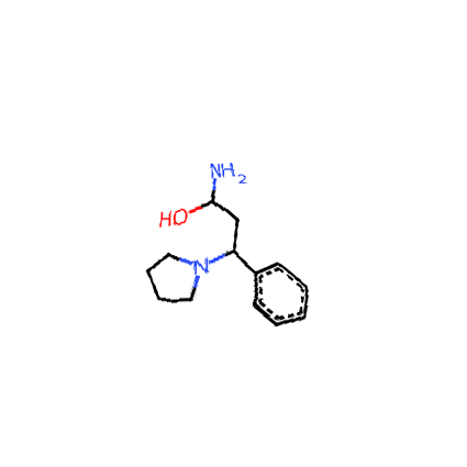 NC(O)CC(c1ccccc1)N1CCCC1